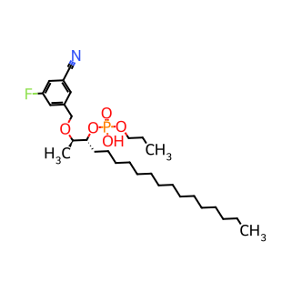 CCCCCCCCCCCCCCC[C@@H](OP(=O)(O)OCCC)[C@@H](C)OCc1cc(F)cc(C#N)c1